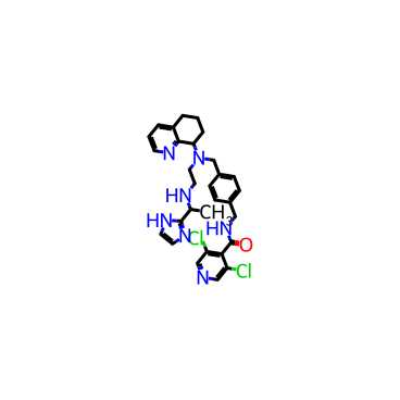 CC(NCCN(Cc1ccc(CNC(=O)c2c(Cl)cncc2Cl)cc1)C1CCCc2cccnc21)c1ncc[nH]1